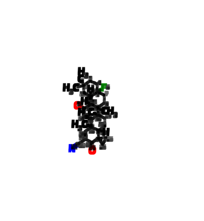 CC1(C)CC[C@]2(F)CC[C@]3(C)[C@H](C(=O)C=C4[C@@]5(C)C=C(C#N)C(=O)C6(CC6)[C@@H]5CC[C@]43C)[C@@H]2C1